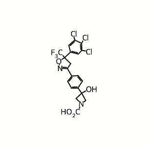 O=C(O)N1CC(O)(c2ccc(C3=NOC(c4cc(Cl)c(Cl)c(Cl)c4)(C(F)(F)F)C3)cc2)C1